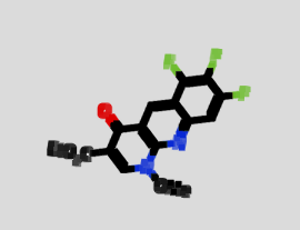 CCOC(=O)c1cn(OC)c2nc3cc(F)c(F)c(F)c3cc2c1=O